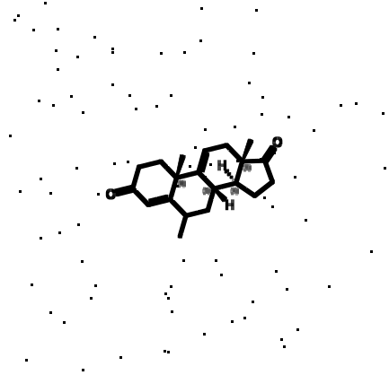 CC1C[C@@H]2C(=CC[C@]3(C)C(=O)CC[C@@H]23)[C@@]2(C)CCC(=O)C=C12